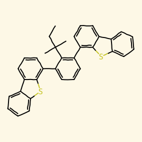 CCC(C)(C)c1c(-c2cccc3c2sc2ccccc23)cccc1-c1cccc2c1sc1ccccc12